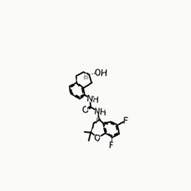 CC1(C)C[C@@H](NC(=O)Nc2cccc3c2C[C@@H](O)CC3)c2cc(F)cc(F)c2O1